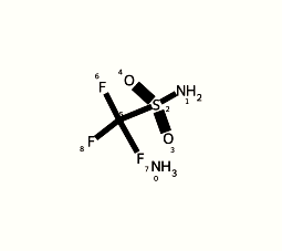 N.NS(=O)(=O)C(F)(F)F